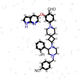 CC(C)c1ccccc1C1CN(Cc2ccc(C#N)cc2)CCN1C1CC2(CCN(c3ccc(C=O)c(Oc4cnc5[nH]ccc5c4)c3)CC2)C1